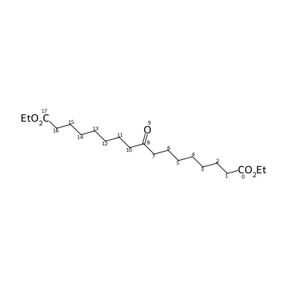 CCOC(=O)CCCCCCCC(=O)CCCCCCCC(=O)OCC